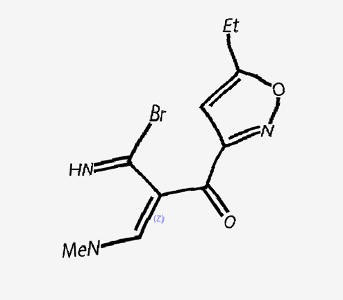 CCc1cc(C(=O)/C(=C/NC)C(=N)Br)no1